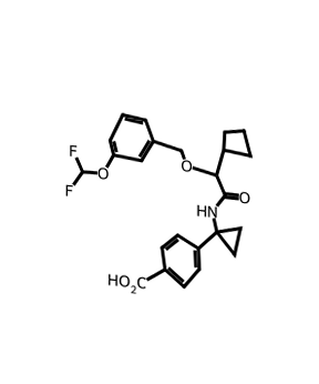 O=C(O)c1ccc(C2(NC(=O)C(OCc3cccc(OC(F)F)c3)C3CCC3)CC2)cc1